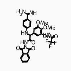 COc1cc(C(Nc2ccc(C(=N)N)cc2)C(=O)NN2C(=O)c3ccccc3C2=O)cc(OC)c1OC.O=C(O)C(F)(F)F